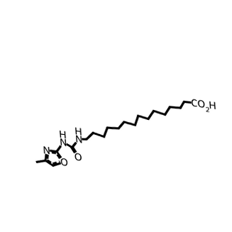 Cc1coc(NC(=O)NCCCCCCCCCCCCCCC(=O)O)n1